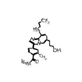 CNC(=O)c1ccc(-c2cnc3c(NCCC(F)(F)F)cc(CCCO)cn23)cc1C